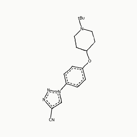 CC(C)(C)N1CCC(Oc2ccc(-n3cc(C#N)nn3)cc2)CC1